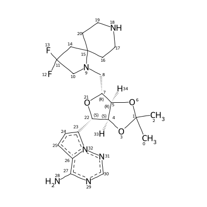 CC1(C)O[C@@H]2[C@H](O1)[C@@H](CN1CC(F)(F)CC13CCNCC3)O[C@H]2c1ccc2c(N)ncnn12